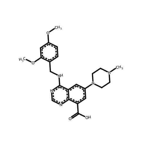 COc1ccc(CNc2ncnc3c(C(=O)O)cc(N4CCN(C)CC4)cc23)c(OC)c1